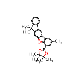 Cc1cc(B2OC(C)(C)C(C)(C)O2)c2oc3cc4c(cc3c2c1)-c1ccccc1C4(C)C